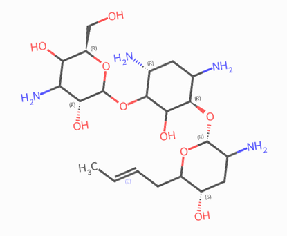 C/C=C/CC1O[C@H](O[C@@H]2C(N)C[C@@H](N)C(OC3O[C@H](CO)C(O)C(N)[C@H]3O)C2O)C(N)C[C@@H]1O